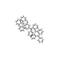 c1ccc(N(c2ccccc2)c2cccc3c2oc2c(N(c4ccccc4)c4ccc5c(c4)Sc4ccccc4C54c5ccccc5-c5ccccc54)cccc23)cc1